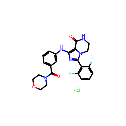 Cl.O=C1NCCn2c(-c3c(F)cccc3F)nc(Nc3cccc(C(=O)N4CCOCC4)c3)c21